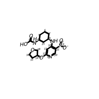 O=C(O)N[C@H]1CCC[C@@H](Nc2cc(OC3CCOC3)ncc2[N+](=O)[O-])C1